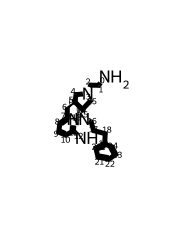 NCCN1C[C@H](Cc2cccc(N)n2)[C@@H](NCCCc2ccccc2)C1